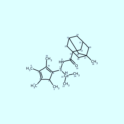 CC1=C(C)C(C)[C]([Ti]([NH]C(=O)C23CC4CC(CC(C)(C4)C2)C3)[GeH]([CH3])[CH3])=C1C